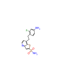 Nc1ccc(CCc2ccnc3cc(S(N)(=O)=O)sc23)c(F)c1